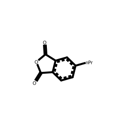 CCCc1ccc2c(c1)C(=O)OC2=O